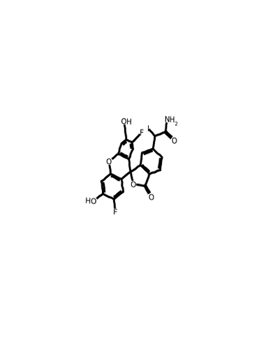 NC(=O)C(I)c1ccc2c(c1)C1(OC2=O)c2cc(F)c(O)cc2Oc2cc(O)c(F)cc21